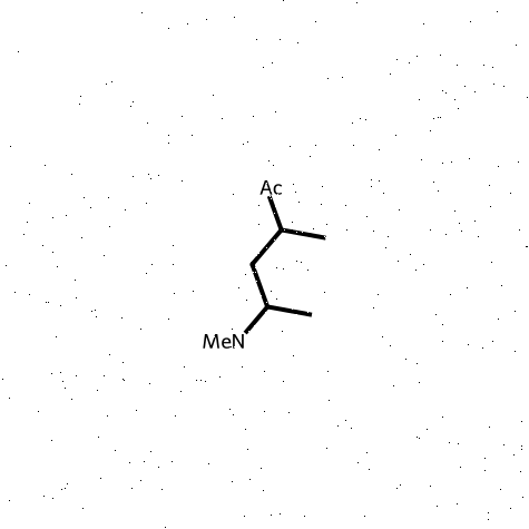 CNC(C)CC(C)C(C)=O